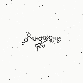 CN1CCO[C@H](CNc2ccc(S(=O)(=O)NC(=O)c3ccc(N4CCN(CC5=C(c6ccc(Cl)cc6)CC(C)(C)CC5)CC4)cc3N3CCCOc4nc5[nH]ccc5cc43)cc2[N+](=O)[O-])C1